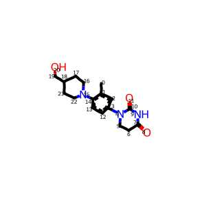 Cc1cc(N2CCC(=O)NC2=O)ccc1N1CCC(CO)CC1